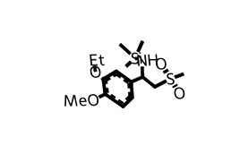 CCOc1cc(C(CS(C)(=O)=O)N[Si](C)(C)C)ccc1OC